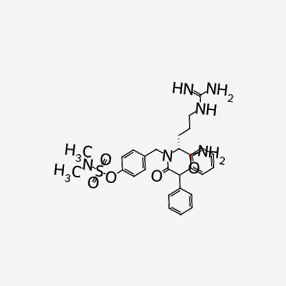 CN(C)S(=O)(=O)Oc1ccc(CN(C(=O)C(c2ccccc2)c2ccccc2)[C@H](CCCNC(=N)N)C(N)=O)cc1